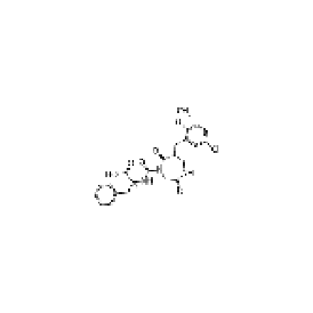 COc1ccc(Cl)cc1CC1CNC(=O)CN(C(=O)N[C@@H](Cc2ccccc2)C(=O)O)C1=O